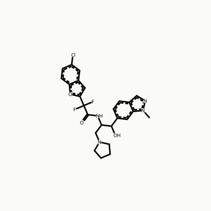 Cn1ncc2ccc(C(O)C(CN3CCCC3)NC(=O)C(F)(F)c3cc4cc(Cl)ccc4o3)cc21